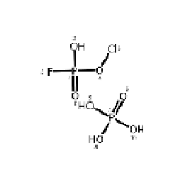 O=P(O)(F)OCl.O=P(O)(O)O